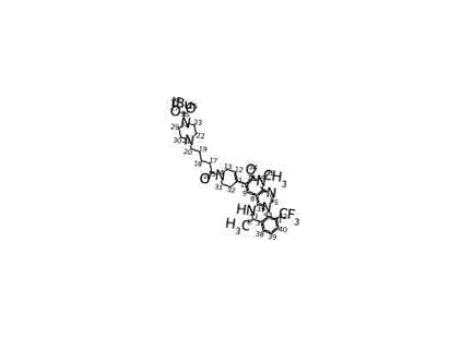 CC(Nc1ncnc2c1cc(C1=CCN(C(=O)CCCCN3CCN(C(=O)OC(C)(C)C)CC3)CC1)c(=O)n2C)c1cccc(C(F)(F)F)c1